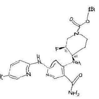 CC(C)(C)OC(=O)N1CC[C@@H](Nc2cc(Nc3ccc(C#N)cn3)ncc2C(N)=O)[C@@H](F)C1